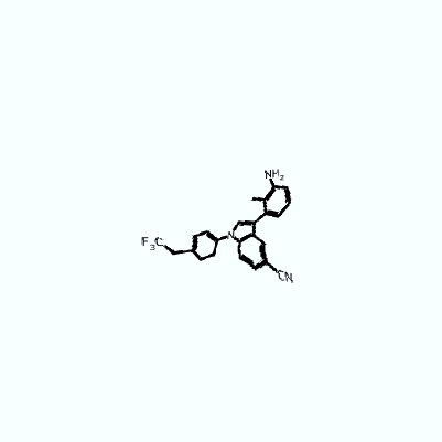 Cc1c(N)cccc1-c1cn(C2=CC=C(CC(F)(F)F)CC2)c2ccc(C#N)cc12